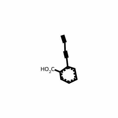 C#CC#Cc1ccccc1C(=O)O